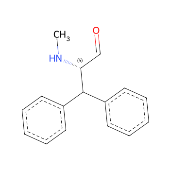 CN[C@H](C=O)C(c1ccccc1)c1ccccc1